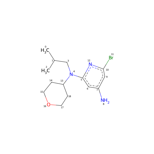 CC(C)CN(c1cc(N)cc(Br)n1)C1CCOCC1